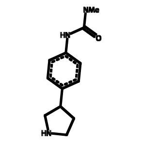 CNC(=O)Nc1ccc(C2CCNC2)cc1